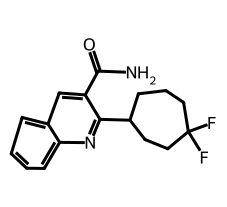 NC(=O)c1cc2ccccc2nc1C1CCCC(F)(F)CC1